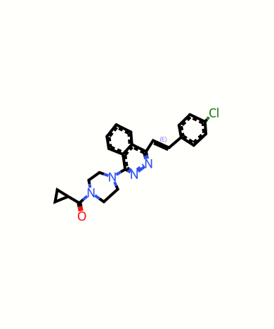 O=C(C1CC1)N1CCN(c2nnc(/C=C/c3ccc(Cl)cc3)c3ccccc23)CC1